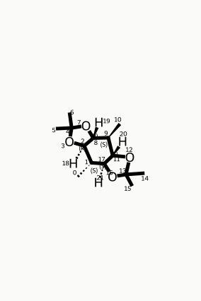 C[C@@H]1[C@H]2OC(C)(C)O[C@@H]2[C@@H](C)[C@@H]2OC(C)(C)O[C@@H]12